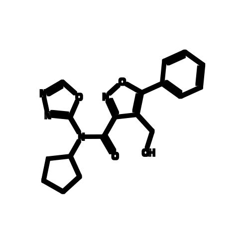 O=C(c1noc(-c2ccccc2)c1CO)N(c1nnco1)C1CCCC1